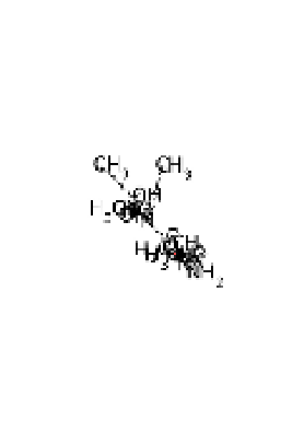 CCCCCCCCCCC(O)CN(CCCCCC(=O)OC(C)(C)Cn1c(CNCC)nc2c(N)nc3ccccc3c21)CCCN(CC(C)O)CC(O)CCCCCCCCCC